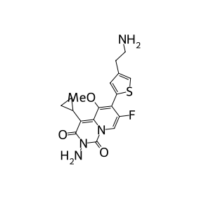 COc1c(-c2cc(CCN)cs2)c(F)cn2c(=O)n(N)c(=O)c(C3CC3)c12